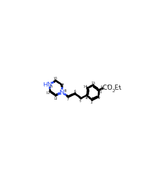 CCOC(=O)c1ccc(CCCN2CCNCC2)cc1